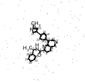 C[C@@H](NC(=O)c1ccc2cncc(-c3ccc(-c4cnn(C)c4)cc3)c2n1)c1ccccc1